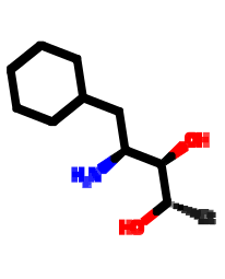 CC[C@H](O)[C@H](O)[C@@H](N)CC1CCCCC1